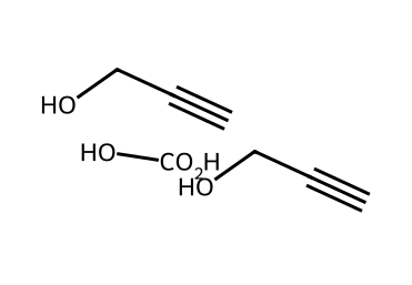 C#CCO.C#CCO.O=C(O)O